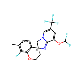 Cc1ccc2c(c1F)OCC[C@@]21CN2C=C(C(F)(F)F)C=C(OC(F)F)C2=N1